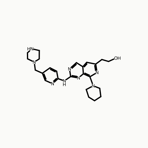 OCCc1cc2cnc(Nc3ccc(CN4CCNCC4)cn3)nc2c(N2CCCCC2)n1